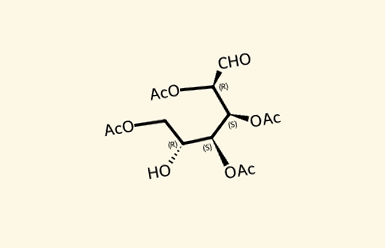 CC(=O)OC[C@@H](O)[C@H](OC(C)=O)[C@H](OC(C)=O)[C@H](C=O)OC(C)=O